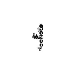 COC(=O)CN1CCN(C2CCN(C(=O)C(Cc3cc(C)c4[nH]ncc4c3)OC(=O)N3CCC(N4CCc5ccccc5NC4=O)CC3)CC2)CC1